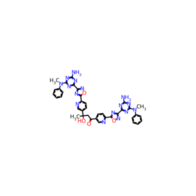 CN(c1ccccc1)c1nc(N)nc(-c2noc(-c3ccc(C(=O)CC(C)(O)c4ccc(-c5nc(-c6nc(N)nc(N(C)c7ccccc7)n6)no5)nc4)cn3)n2)n1